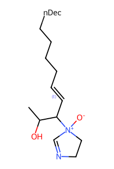 CCCCCCCCCCCCCC/C=C/C(C(C)O)[N+]1([O-])C=NCC1